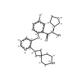 CC(C)N(C(=O)c1cc(F)ccc1Oc1cncnc1N1CC2(CCNCC2)C1)[C@H]1CCOC1